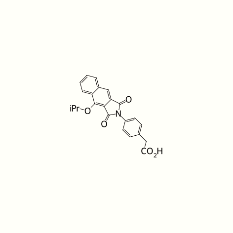 CC(C)Oc1c2c(cc3ccccc13)C(=O)N(c1ccc(CC(=O)O)cc1)C2=O